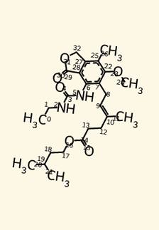 CCNC(=O)Nc1c(C/C=C(\C)CCC(=O)OCCC(C)C)c(OC)c(C)c2c1C(=O)OC2